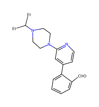 CCC(CC)N1CCN(c2cc(-c3ccccc3C=O)ccn2)CC1